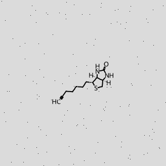 C#CCCCCC[C@@H]1SC[C@@H]2NC(=O)N[C@@H]21